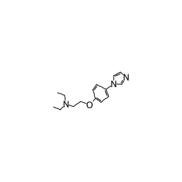 CCN(CC)CCOc1ccc(-n2ccnc2)cc1